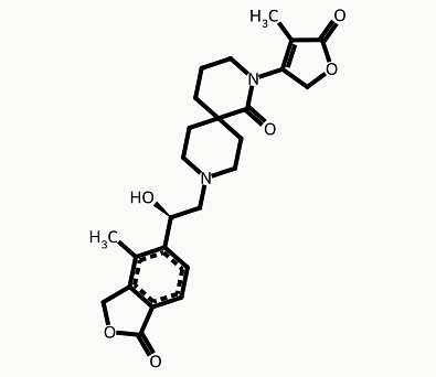 CC1=C(N2CCCC3(CCN(C[C@H](O)c4ccc5c(c4C)COC5=O)CC3)C2=O)COC1=O